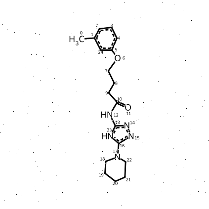 Cc1cccc(OCCCC(=O)Nc2nnc(N3CCCCC3)[nH]2)c1